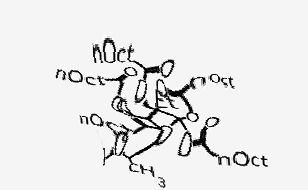 CCCCCCCCC(=O)OC(CC(C)OI)C(CC)(OC(=O)CCCCCCCC)C(OC(=O)CCCCCCCC)(OC(=O)CCCCCCCC)OC(=O)CCCCCCCC